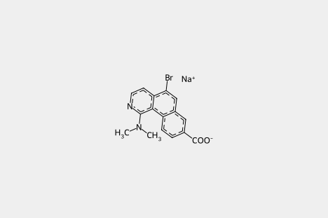 CN(C)c1nccc2c(Br)cc3cc(C(=O)[O-])ccc3c12.[Na+]